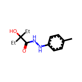 CCC(O)(CC)C(=O)NNc1ccc(C)cc1